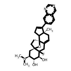 CN(C)[C@H]1C[C@@]23CC[C@@]4(O2)C(=CC[C@]2(C)C(c5ccc6cncnc6c5)=CCC24)CC3(F)[C@@H](O)[C@@H]1O